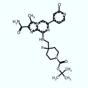 Cc1c(C(N)=O)nc2c(NCC3(F)CCN(C(=O)OC(C)(C)C)CC3)nc(-c3ccnc(Cl)c3)cn12